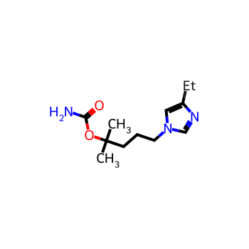 CCc1cn(CCCC(C)(C)OC(N)=O)cn1